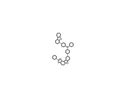 c1ccc(-c2nc3c(ccc4oc5ccc(-c6ccc(N(c7ccccc7)c7ccc(-c8cccc9c8sc8ccccc89)cc7)cc6)cc5c43)s2)cc1